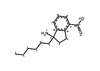 CCCCCCC1(N)CCc2c([N+](=O)[O-])cccc21